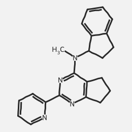 CN(c1nc(-c2ccccn2)nc2c1CCC2)C1CCc2ccccc21